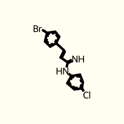 N=C(/C=C/c1ccc(Br)cc1)Nc1ccc(Cl)cc1